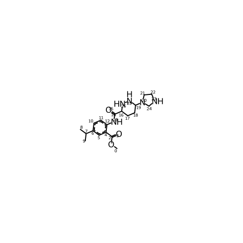 COC(=O)c1cc(C(C)C)ccc1NC(=O)C1CCC(N2CCNC2)NN1